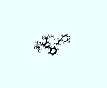 NC(=O)Nc1cc(-c2ccccc2OCCN2CCOCC2)sc1C(N)=O